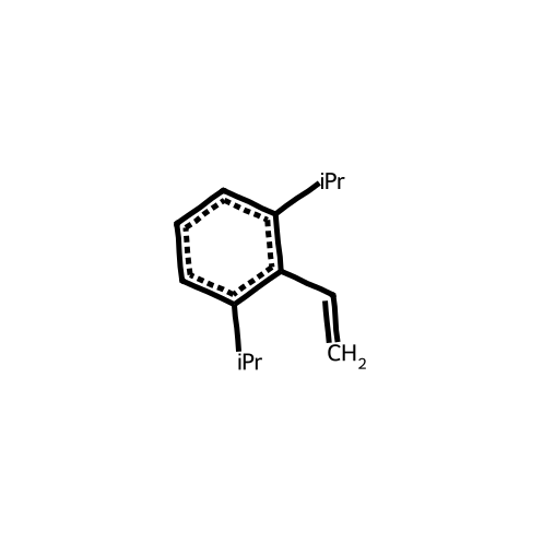 C=Cc1c(C(C)C)cccc1C(C)C